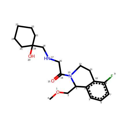 COCC1c2cccc(F)c2CCN1C(=O)CNCC1(O)CCCCC1